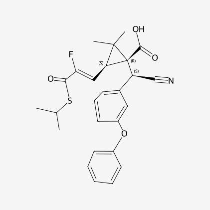 CC(C)SC(=O)C(F)=C[C@H]1C(C)(C)[C@]1(C(=O)O)[C@@H](C#N)c1cccc(Oc2ccccc2)c1